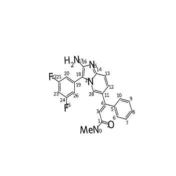 CNC(=O)C=C(c1ccccc1)c1ccc2nc(N)c(-c3cc(F)cc(F)c3)n2c1